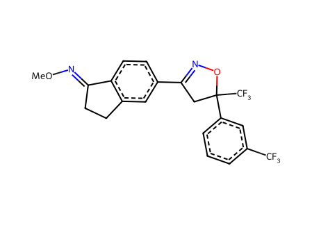 CON=C1CCc2cc(C3=NOC(c4cccc(C(F)(F)F)c4)(C(F)(F)F)C3)ccc21